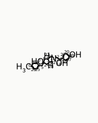 Cc1ccc(C[C@@]2(O)C[C@H]3CN(CC(O)c4ccc(O)cc4)C[C@H]3C2)cc1